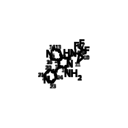 Nc1nc(NC2(C(F)(F)F)CC2)c2ccncc2c1-c1ccncc1